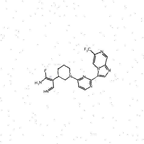 N=C/C(=C(\N)F)C1CCCN(c2ccnc(-c3cnc4cnc(C(F)(F)F)cn34)n2)C1